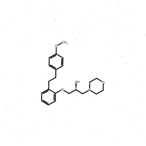 COc1ccc(CCc2ccccc2OC[C@@H](O)CN2CCOCC2)cc1